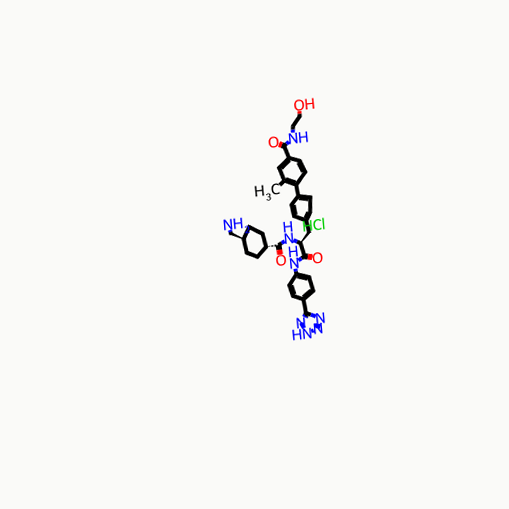 Cc1cc(C(=O)NCCO)ccc1-c1ccc(C[C@H](NC(=O)[C@H]2CC[C@H](CN)CC2)C(=O)Nc2ccc(-c3nn[nH]n3)cc2)cc1.Cl